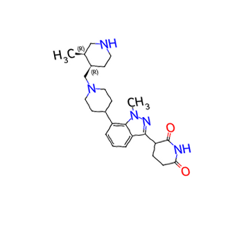 C[C@H]1CNCC[C@H]1CN1CCC(c2cccc3c(C4CCC(=O)NC4=O)nn(C)c23)CC1